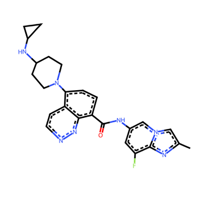 Cc1cn2cc(NC(=O)c3ccc(N4CCC(NC5CC5)CC4)c4ccnnc34)cc(F)c2n1